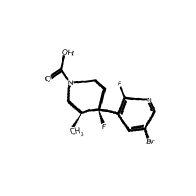 C[C@H]1CN(C(=O)O)CC[C@]1(F)c1cc(Br)cnc1F